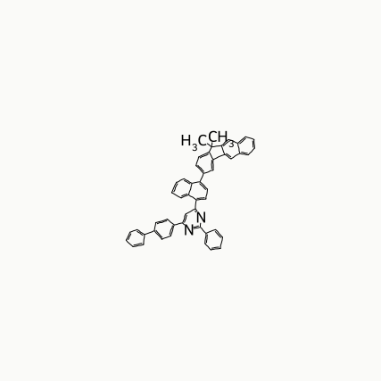 CC1(C)c2ccc(-c3ccc(-c4cc(-c5ccc(-c6ccccc6)cc5)nc(-c5ccccc5)n4)c4ccccc34)cc2-c2cc3ccccc3cc21